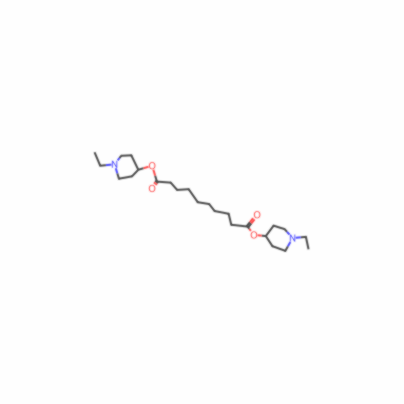 CCN1CCC(OC(=O)CCCCCCCCC(=O)OC2CCN(CC)CC2)CC1